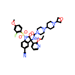 CCOc1ncccc1C1(NC(=O)N2CCN(C3CCN(C4COC4)CC3)CC2)C(=O)N(S(=O)(=O)c2ccc(OC)cc2F)c2ccc(C#N)cc21